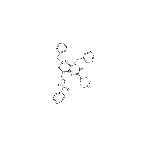 O=C(N[C@@H](/C=C/S(=O)(=O)c1ccccc1)COCc1ccccc1)[C@H](Cc1ccccc1)NC(=O)N1CCOCC1